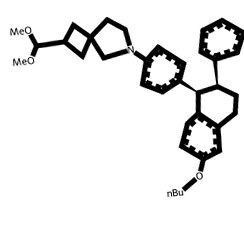 CCCCOc1ccc2c(c1)CC[C@H](c1ccccc1)[C@@H]2c1ccc(N2CCC3(CC(C(OC)OC)C3)C2)cc1